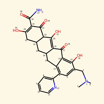 CN(C)Cc1cc(-c2ccccn2)c2c(c1O)C(=O)C1=C(O)C3C(=O)C(C(N)=O)=C(O)CC3CC1C2